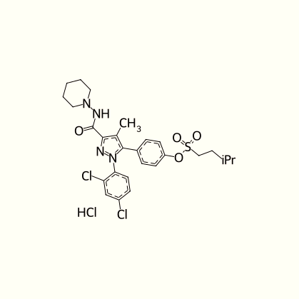 Cc1c(C(=O)NN2CCCCC2)nn(-c2ccc(Cl)cc2Cl)c1-c1ccc(OS(=O)(=O)CCC(C)C)cc1.Cl